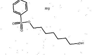 CCCCCCCCCCCCCCCCCOS(=O)(=O)c1ccccc1.[Mg]